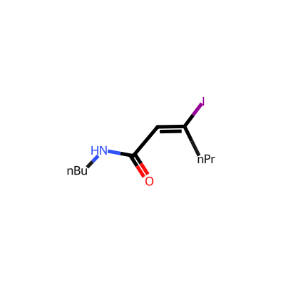 CCCCNC(=O)/C=C(/I)CCC